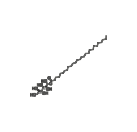 CCCCCCCCCCCCCCCCCCCCCCCCCCC(=O)OC(O)[C@H](O)[C@@H](O)[C@H](O)[C@H](O)CO